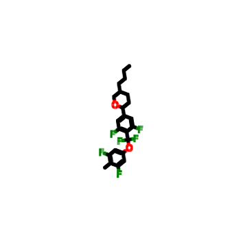 CCCCC1CCC(c2cc(F)c(C(F)(F)Oc3cc(F)c(C)c(F)c3)c(F)c2)OC1